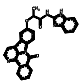 CC(Oc1ccc2c(c1)c1ccnc3c4ccccc4c(=O)n2c13)C(=O)Nc1nc2ccccc2[nH]1